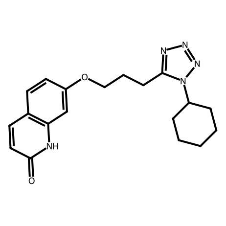 O=c1ccc2ccc(OCCCc3nnnn3C3CCCCC3)cc2[nH]1